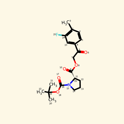 Cc1ccc(C(=O)COC(=O)[C@@H]2CCCN2C(=O)OC(C)(C)C)cc1F